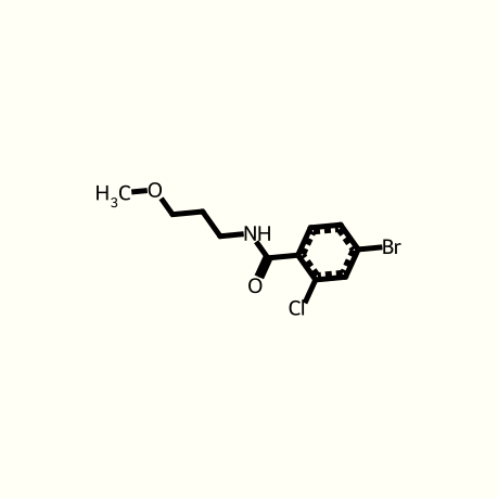 COCCCNC(=O)c1ccc(Br)cc1Cl